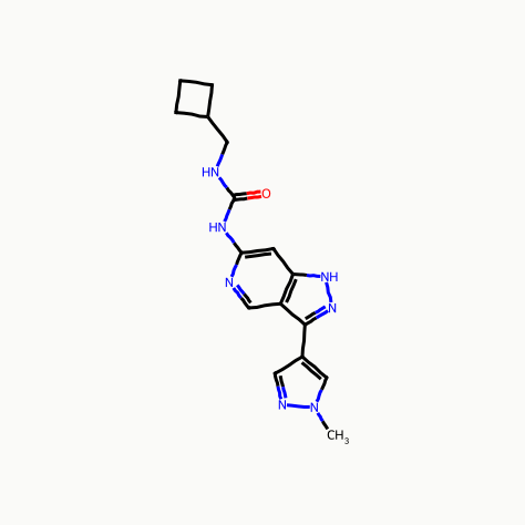 Cn1cc(-c2n[nH]c3cc(NC(=O)NCC4CCC4)ncc23)cn1